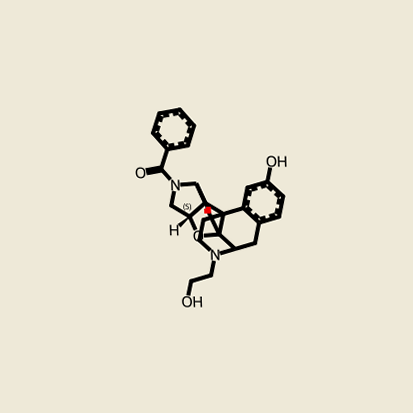 O=C(c1ccccc1)N1C[C@H]2OC34CCC1C2C31CCN(CCO)C4Cc2ccc(O)cc21